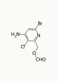 Nc1cc(Br)nc(COC=O)c1Cl